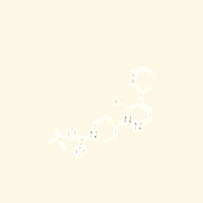 CC(C)(C)OC(=O)N1CCC(n2nccc(-c3ccccc3)c2=O)CC1